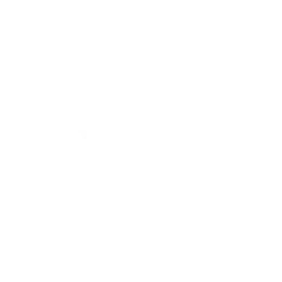 CCOC(CC(C)=O)C(OCC)OCC